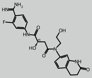 N=C(N)c1ccc(NC(=O)[C@H](O)CC(=O)N(CCO)c2ccc3c(c2)NC(=O)CC3)cc1F